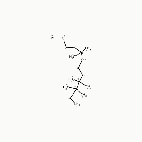 CC(C)OCCC(C)(C)OCCC(C)(C)C(C)(C)CN